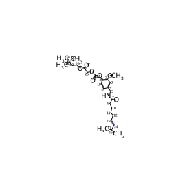 COc1cc(CNC(=O)CCCC/C=C/C(C)C)ccc1OC(=O)OCC(=O)OCC[N+](C)(C)C